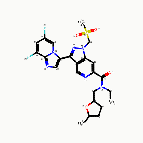 CCN(CC1CCC(C)O1)C(=O)c1cc2c(cn1)c(-c1cnc3c(F)cc(F)cn13)nn2CS(C)(=O)=O